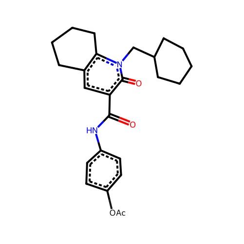 CC(=O)Oc1ccc(NC(=O)c2cc3c(n(CC4CCCCC4)c2=O)CCCC3)cc1